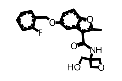 Cc1oc2ccc(OCc3ccccc3F)cc2c1C(=O)NC1(CO)COC1